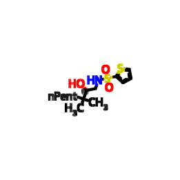 CCCCCC(C)(C)[C@@H](O)CNS(=O)(=O)c1cccs1